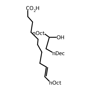 CCCCCCCCC=CCCCCCCCC(=O)O.CCCCCCCCCCCC(O)CCCCCCCC